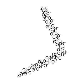 O=P([O-])([O-])[O-].O=P([O-])([O-])[O-].O=P([O-])([O-])[O-].O=P([O-])([O-])[O-].O=P([O-])([O-])[O-].O=P([O-])([O-])[O-].O=P([O-])([O-])[O-].O=P([O-])([O-])[O-].O=P([O-])([O-])[O-].O=P([O-])([O-])[O-].[Li+].[Li+].[Li+].[V+5].[V+5].[V+5].[Zr+4].[Zr+4].[Zr+4]